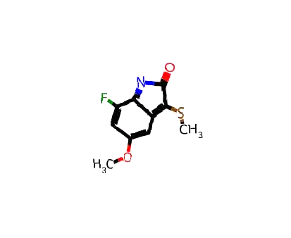 COc1cc(F)c2c(c1)=C(SC)C(=O)N=2